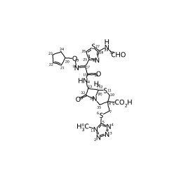 Cn1nnnc1SCC1(C(=O)O)CS[C@@H]2C(NC(=O)C(=NOC3C=CCC3)c3csc(NC=O)n3)C(=O)N2C1